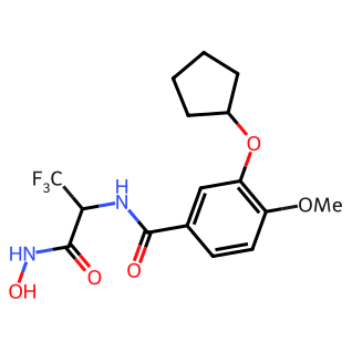 COc1ccc(C(=O)NC(C(=O)NO)C(F)(F)F)cc1OC1CCCC1